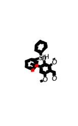 COc1cc(C(C)(C)C)c(O[SiH](c2ccccc2)c2ccccc2)c(OC)c1C=O